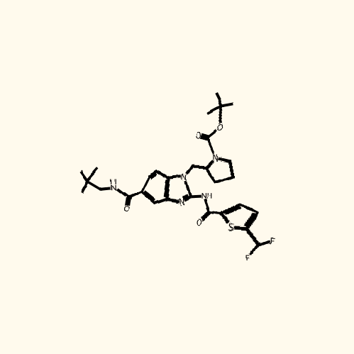 CC(C)(C)CNC(=O)c1ccc2c(c1)nc(NC(=O)c1ccc(C(F)F)s1)n2CC1CCCN1C(=O)OC(C)(C)C